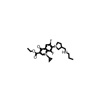 CCCNCC1CCN(c2c(F)cc3c(=O)c(C(=O)OCC)cn(C4CC4)c3c2F)C1